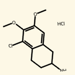 COc1cc2c(c(Cl)c1OC)CCC(N)C2.Cl